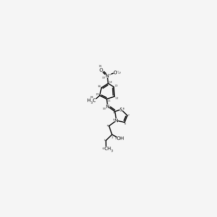 CCC(O)Cn1ccsc1=Nc1ccc([N+](=O)[O-])cc1C